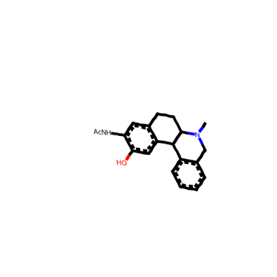 CC(=O)Nc1cc2c(cc1O)C1c3ccccc3CN(C)C1CC2